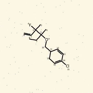 C=CC(C)(F)C(C)(CC)OCC1C=CC(Cl)=CC1